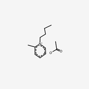 CC(=O)[O-].CCCC[n+]1ccccc1C